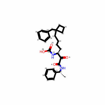 C[C@@H](NC(=O)C(=O)[C@H](CCCCC1(Cc2ccccc2)CCC1)NC(=O)O)c1ccccc1